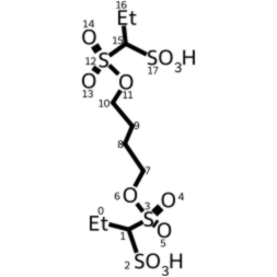 CCC(S(=O)(=O)O)S(=O)(=O)OCCCCOS(=O)(=O)C(CC)S(=O)(=O)O